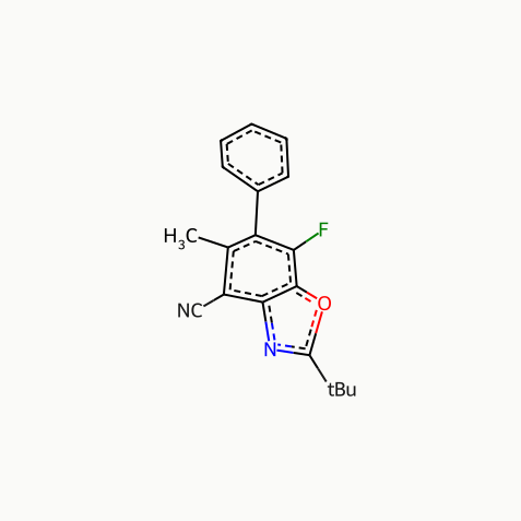 Cc1c(-c2ccccc2)c(F)c2oc(C(C)(C)C)nc2c1C#N